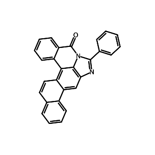 O=c1c2ccccc2c2c3ccc4ccccc4c3cc3nc(-c4ccccc4)n1c32